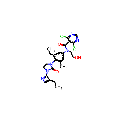 CCC1=CN=C1N1CCN(c2c(C)cc(N(CCO)C(=O)c3c(Cl)ncnc3Cl)cc2CC)C1=O